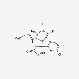 COCc1nc2c(F)c(F)cc(C3(c4ccc(F)c(Cl)c4)NOC(=O)N3)c2[nH]1